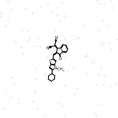 Cn1c(C2CCCCC2)cc2sc(/C=C3\C(=O)c4ccccc4C3=C(C#N)C#N)cc21